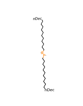 CCCCCCCCCCCCCCCCCCCCC[P][P]CCCCCCCCCCCCCCCCCCCCC